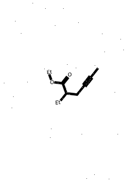 CC#CCC(CC)C(=O)OCC